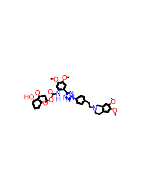 COc1cc2c(cc1OC)CN(CCc1ccc(-n3nnc(-c4cc(OC)c(OC)cc4NC(=O)Oc4cc(=O)c5c(O)cccc5o4)n3)cc1)CC2